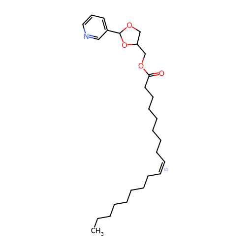 CCCCCCCC/C=C\CCCCCCCC(=O)OCC1COC(c2cccnc2)O1